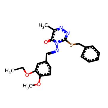 CCOc1cc(C=Nn2c(SCc3ccccc3)nnc(C)c2=O)ccc1OC